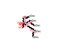 CCCCCCCCCCCCCC(=O)O[C@H](CCCCCCCCCCC)CC(=O)CCCCO[C@@H]1OC(CO)[C@@H](OP(=O)(O)O)C(OC(=O)C[C@@H](CCCCCCCCCCC)OC(=O)CCCCCCCCCCCCC)C1NC(=O)C[C@@H](CCCCCCCCCCC)OC(=O)CCCCCCCCCCCCC